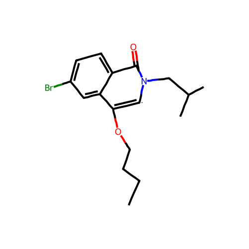 CCCCOc1[c]n(CC(C)C)c(=O)c2ccc(Br)cc12